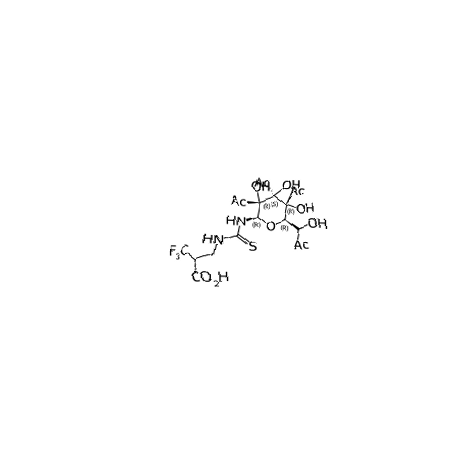 CC(=O)C(O)[C@H]1O[C@@H](NC(=S)NCC(C(=O)O)C(F)(F)F)[C@@](O)(C(C)=O)[C@](O)(C(C)=O)[C@@]1(O)C(C)=O